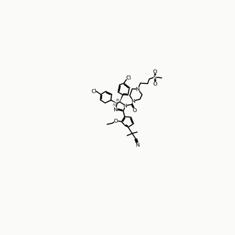 CCOc1cc(C(C)(C)C#N)ccc1C1=N[C@@H](C2C=CC(Cl)=CC2)[C@@H](c2ccc(Cl)cc2)N1C(=O)N1CCN(CCCS(C)(=O)=O)CC1